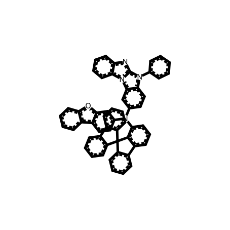 c1ccc(-n2c3ccc(N(c4ccc5c(c4)oc4ccccc45)c4cccc5c4C4(c6ccccc6-c6ccccc64)c4ccccc4-5)cc3n3c4ccccc4nc23)cc1